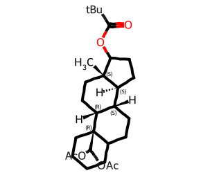 CC(=O)OC(OC(C)=O)[C@]12CCCCC1CC[C@@H]1[C@H]2CC[C@]2(C)C(OC(=O)C(C)(C)C)CC[C@@H]12